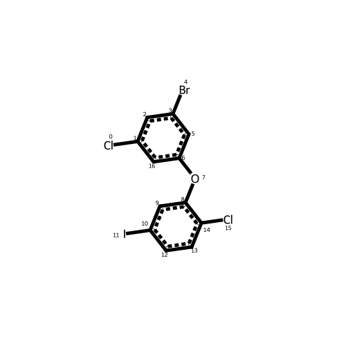 Clc1cc(Br)cc(Oc2cc(I)ccc2Cl)c1